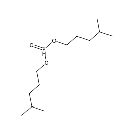 CC(C)CCCO[PH](=O)OCCCC(C)C